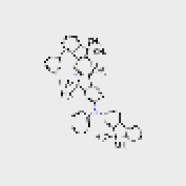 C=C1/C(=C\C2=C(C)C(C)(C)c3cccc(-c4ccccc4)c32)C(C)(C)c2cc(N(C3=CCC=CC=C3)c3ccc4c(c3)C(C)(C)c3ccccc3-4)ccc21